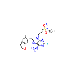 Cc1cc2c(cc1Cc1nc3c(N)nc(F)nc3n1CCCS(=O)(=O)NC(C)(C)C)OCC2